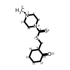 CN1CCN(C(=S)SCC2CCCCC2=O)CC1